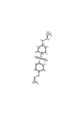 C=CCc1ccc(S(=O)(=O)c2ccc(CC=C)cc2)cc1